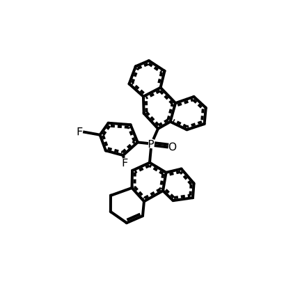 O=P(c1ccc(F)cc1F)(c1cc2c(c3ccccc13)C=CCC2)c1cc2ccccc2c2ccccc12